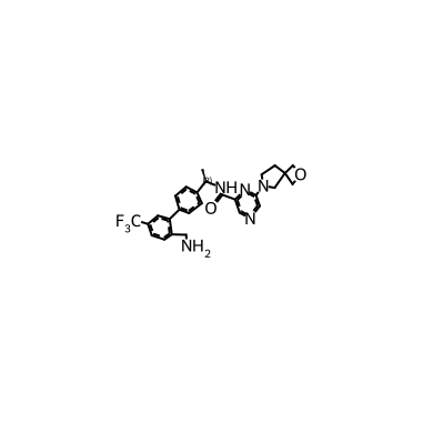 C[C@@H](NC(=O)c1cncc(N2CCC3(COC3)C2)n1)c1ccc(-c2cc(C(F)(F)F)ccc2CN)cc1